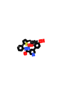 CC(=O)OCc1ccc(-c2ccccc2NC(=O)c2cncc(-c3ccc(O)cc3O)c2)s1